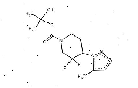 Cc1ccnn1C1CCN(C(=O)OC(C)(C)C)CC1(F)F